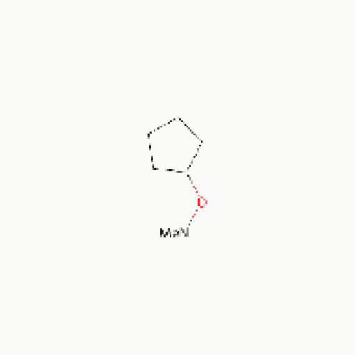 CNOC1CCCC1